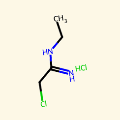 CCNC(=N)CCl.Cl